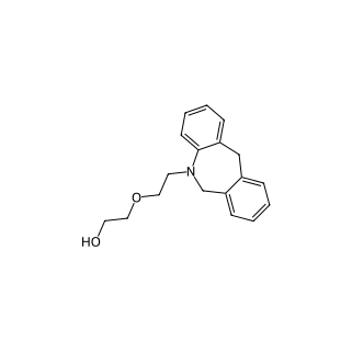 OCCOCCN1Cc2ccccc2Cc2ccccc21